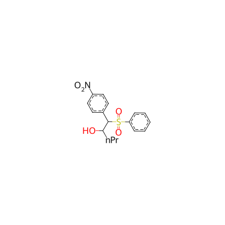 CCCC(O)C(c1ccc([N+](=O)[O-])cc1)S(=O)(=O)c1ccccc1